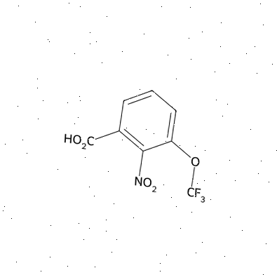 O=C(O)c1cccc(OC(F)(F)F)c1[N+](=O)[O-]